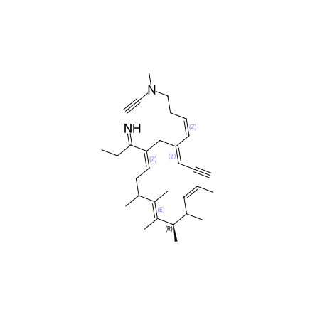 C#C/C=C(\C=C/CCN(C)C#C)C/C(=C/CC(C)/C(C)=C(\C)[C@H](C)C(C)C=CC)C(=N)CC